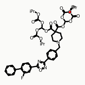 CC(C)OC(=O)OC(OC(=O)OC(C)C)OC(=O)C1(C(=O)OC(OC(=O)OC(C)C)OC(=O)OC(C)C)CCN(Cc2ccc(-c3noc(-c4ccc(-c5ccccc5)c(F)c4)n3)cc2)CC1